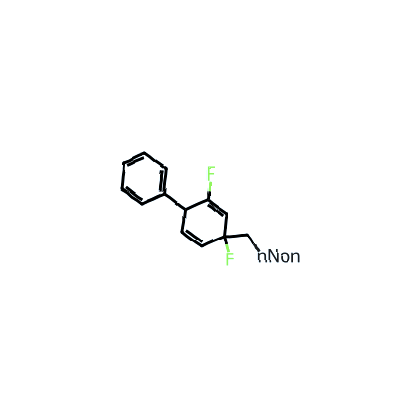 CCCCCCCCCCC1(F)C=CC(c2ccccc2)C(F)=C1